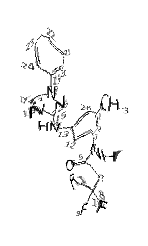 Cc1cc(NC(=O)CC(F)(F)F)cc(Nc2ncn(-c3ccccc3)n2)c1